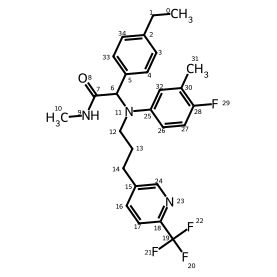 CCc1ccc(C(C(=O)NC)N(CCCc2ccc(C(F)(F)F)nc2)c2ccc(F)c(C)c2)cc1